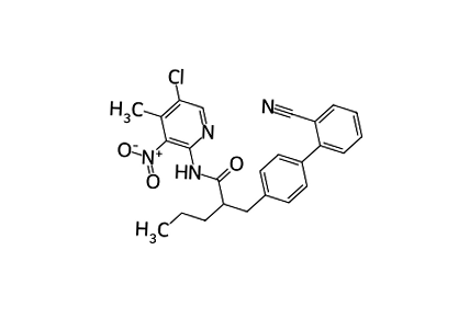 CCCC(Cc1ccc(-c2ccccc2C#N)cc1)C(=O)Nc1ncc(Cl)c(C)c1[N+](=O)[O-]